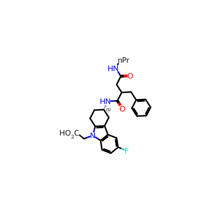 CCCNC(=O)CC(Cc1ccccc1)C(=O)N[C@H]1CCc2c(c3cc(F)ccc3n2CC(=O)O)C1